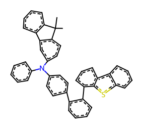 CC1(C)c2ccccc2-c2cc(N(c3ccccc3)c3ccc(-c4ccccc4-c4cccc5c4sc4ccccc45)cc3)ccc21